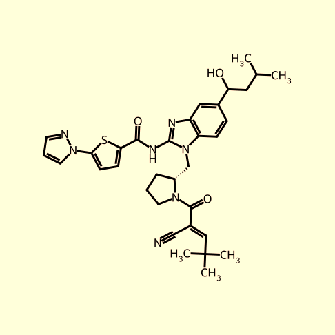 CC(C)CC(O)c1ccc2c(c1)nc(NC(=O)c1ccc(-n3cccn3)s1)n2C[C@H]1CCCN1C(=O)/C(C#N)=C/C(C)(C)C